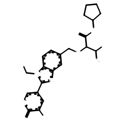 CCn1c(-c2c[nH]c(=O)c(C)c2)nc2cc(CNC(C(=O)OC3CCCC3)C(C)O)ccc21